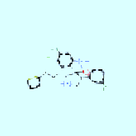 O=C1Nc2cc(Cl)c(F)cc2[C@]12[C@@H](c1cccc(Cl)c1)CN[C@@H]2CCCc1cccs1